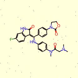 CN(C)CC(=O)N(C)c1ccc(NC(=C2C(=O)Nc3cc(F)ccc32)c2ccc(N3CCOC3=O)cc2)cc1